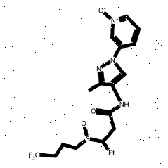 CCC(CC(=O)Nc1cn(-c2ccc[n+]([O-])c2)nc1C)[S+]([O-])CCCC(F)(F)F